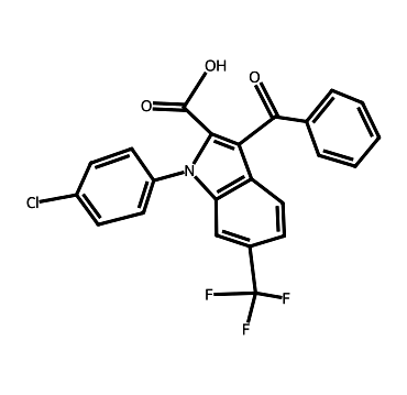 O=C(c1ccccc1)c1c(C(=O)O)n(-c2ccc(Cl)cc2)c2cc(C(F)(F)F)ccc12